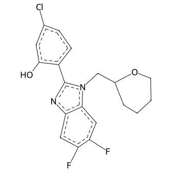 Oc1cc(Cl)ccc1-c1nc2cc(F)c(F)cc2n1CC1CCCCO1